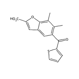 Cc1c(C(=O)c2cccs2)cc2cc(C(=O)O)oc2c1C